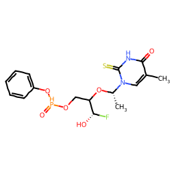 Cc1cn([C@H](C)OC(CO[PH](=O)Oc2ccccc2)[C@@H](O)F)c(=S)[nH]c1=O